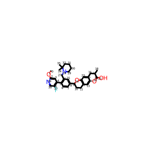 COc1cc(-c2ccc(C3CCc4ccc(CC(C)C(=O)O)cc4O3)cc2CN2CCCCC2(C)C)c(F)cn1